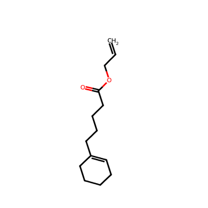 C=CCOC(=O)CCCCC1=CCCCC1